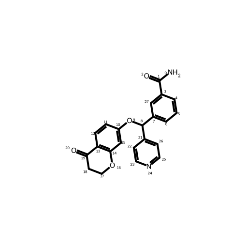 NC(=O)c1cccc(C(Oc2ccc3c(c2)OCCC3=O)c2ccncc2)c1